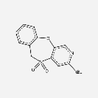 CC(C)(C)c1cc2c(cn1)Oc1ccccc1CS2(=O)=O